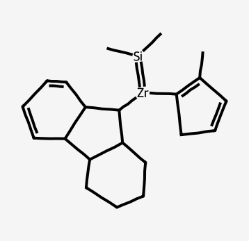 CC1=[C]([Zr]([CH]2C3C=CC=CC3C3CCCCC32)=[Si](C)C)CC=C1